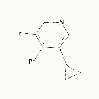 CC(C)c1c(F)cncc1C1CC1